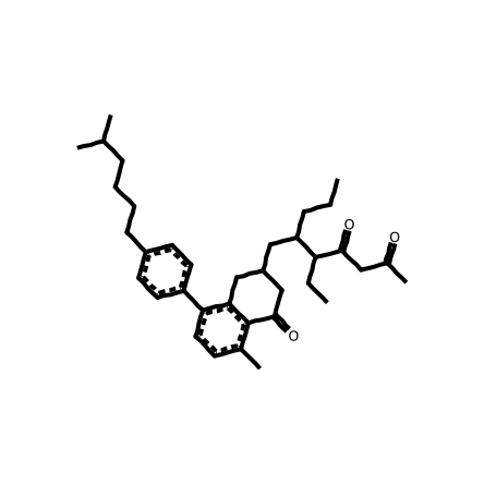 CCCC(CC1CC(=O)c2c(C)ccc(-c3ccc(CCCCC(C)C)cc3)c2C1)C(CC)C(=O)CC(C)=O